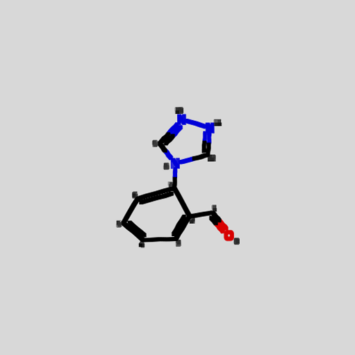 O=Cc1ccccc1-n1cnnc1